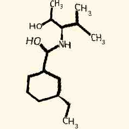 CC[C@H]1CCCC(C(O)N[C@H](C(C)C)C(C)O)C1